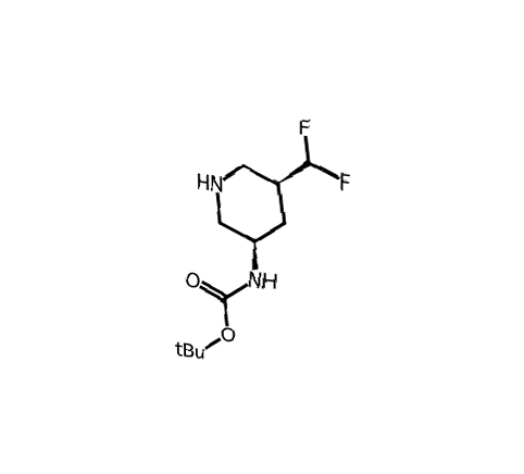 CC(C)(C)OC(=O)N[C@H]1CNC[C@@H](C(F)F)C1